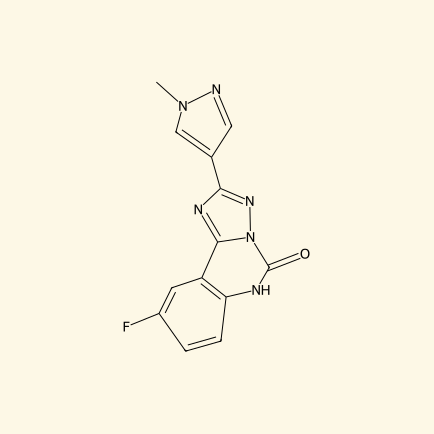 Cn1cc(-c2nc3c4cc(F)ccc4[nH]c(=O)n3n2)cn1